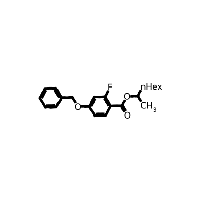 CCCCCCC(C)OC(=O)c1ccc(OCc2ccccc2)cc1F